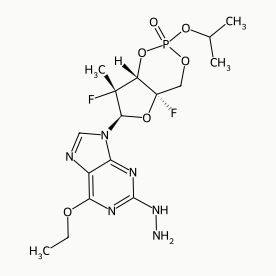 CCOc1nc(NN)nc2c1ncn2[C@@H]1O[C@]2(F)COP(=O)(OC(C)C)O[C@H]2[C@@]1(C)F